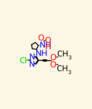 CCOC(C#Cc1cnc(Cl)nc1N[C@H]1CCC[C@@H]1NC(=O)O)OCC